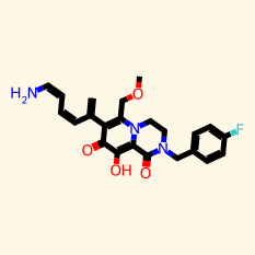 C=C(/C=C\C=C/N)c1c(COC)n2c(c(O)c1=O)C(=O)N(Cc1ccc(F)cc1)CC2